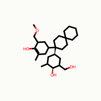 COCC1CC(C2([C@@H]3CC(C)[C@H](O)C(CO)C3)CCC3(CCCCC3)CC2)CC(C)=C1O